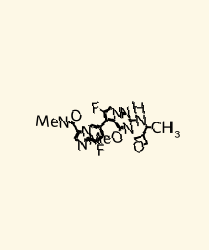 CNC(=O)c1cnc2c(F)cc(-c3c(F)cn4nc(NC(C)C5COC5)nc(OC)c34)cn12